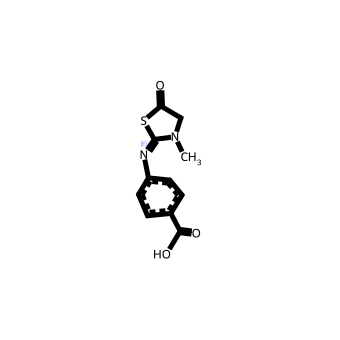 CN1CC(=O)S/C1=N/c1ccc(C(=O)O)cc1